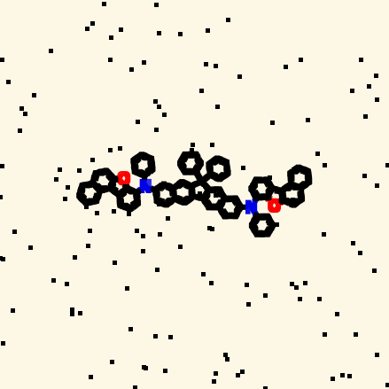 c1ccc(N(c2ccc3cc4c(cc3c2)C(c2ccccc2)(c2ccccc2)c2cc3cc(N(c5ccccc5)c5cccc6c5oc5ccc7ccccc7c56)ccc3cc2-4)c2cccc3c2oc2ccc4ccccc4c23)cc1